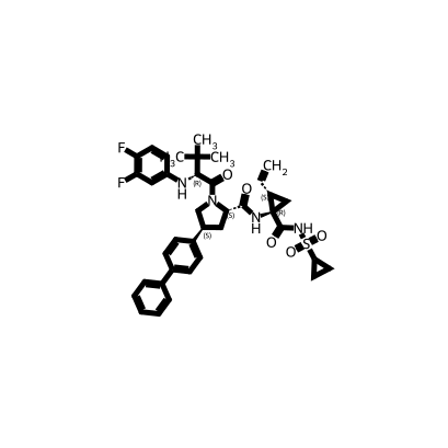 C=C[C@@H]1C[C@]1(NC(=O)[C@@H]1C[C@@H](c2ccc(-c3ccccc3)cc2)CN1C(=O)[C@H](Nc1ccc(F)c(F)c1)C(C)(C)C)C(=O)NS(=O)(=O)C1CC1